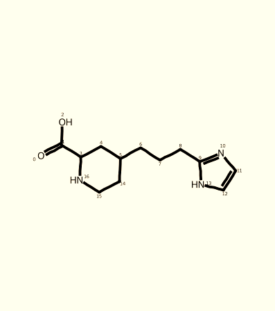 O=C(O)C1CC(CCCc2ncc[nH]2)CCN1